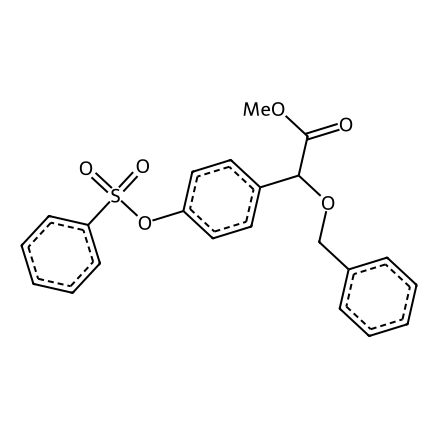 COC(=O)C(OCc1ccccc1)c1ccc(OS(=O)(=O)c2ccccc2)cc1